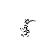 COc1cc(-n2cc(-c3cnc(C(N)=O)n3C)c(C(F)(F)F)n2)ccn1